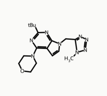 Cn1nnnc1Cn1ccc2c(N3CCOCC3)nc(C(C)(C)C)nc21